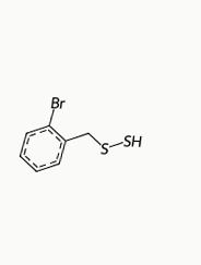 SSCc1ccccc1Br